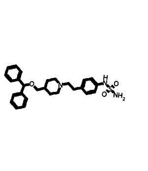 NS(=O)(=O)Nc1ccc(CCN2CCC(COC(c3ccccc3)c3ccccc3)CC2)cc1